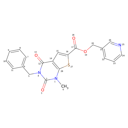 Cn1c(=O)n(Cc2ccccc2)c(=O)c2cc(C(=O)OCc3cccnc3)sc21